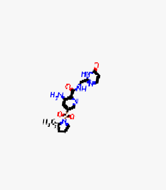 C[C@H]1CCCN1S(=O)(=O)c1cnc(C(=O)NCc2nccc(=O)[nH]2)c(N)c1